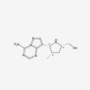 C[C@H]1C[C@@H](CO)N[C@H]1c1cnn2c(N)ncnc12